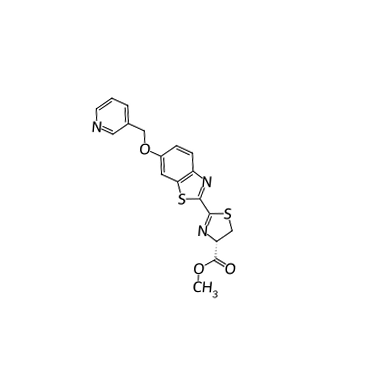 COC(=O)[C@H]1CSC(c2nc3ccc(OCc4cccnc4)cc3s2)=N1